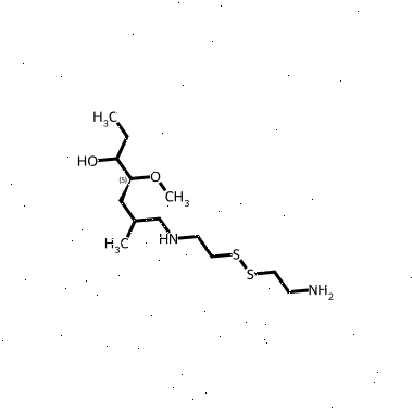 CCC(O)[C@H](CC(C)CNCCSSCCN)OC